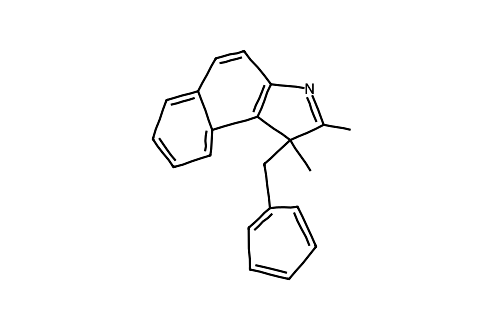 CC1=Nc2ccc3ccccc3c2C1(C)Cc1ccccc1